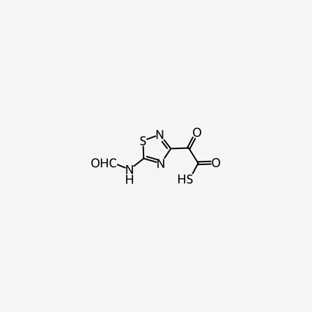 O=CNc1nc(C(=O)C(=O)S)ns1